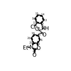 CCn1c(=O)oc2cc(S(=O)(=O)Nc3ccccc3Cl)ccc21